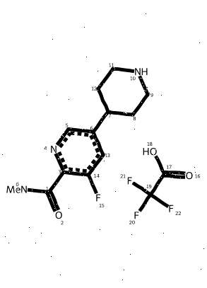 CNC(=O)c1ncc(C2CCNCC2)cc1F.O=C(O)C(F)(F)F